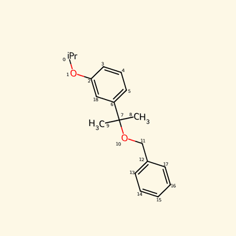 CC(C)Oc1cccc(C(C)(C)OCc2ccccc2)c1